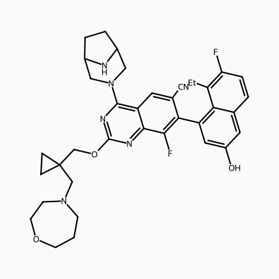 CCc1c(F)ccc2cc(O)cc(-c3c(C#N)cc4c(N5CC6CCC(C5)N6)nc(OCC5(CN6CCCOCC6)CC5)nc4c3F)c12